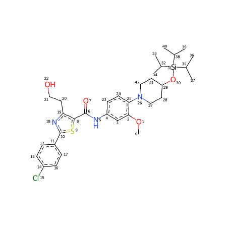 COc1cc(NC(=O)c2sc(-c3ccc(Cl)cc3)nc2CCO)ccc1N1CCC(O[Si](C(C)C)(C(C)C)C(C)C)CC1